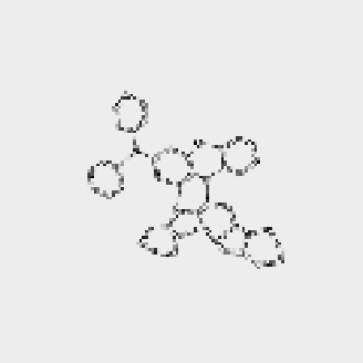 c1ccc(N(c2ccccc2)c2cc3c4c(c2)-n2c5ccccc5c5c6sc7ccccc7c6cc(c52)B4c2ccccc2O3)cc1